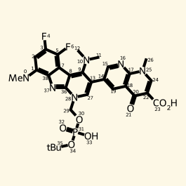 CNc1cc(F)c(F)c2c3c(N(C)C)c(-c4cnc5c(c4)c(=O)c(C(=O)O)cn5C)cn(COP(=O)(O)OC(C)(C)C)c-3nc12